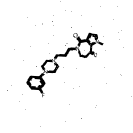 Cn1ccc2c1C(=O)CCN(CCCN1CCN(c3cccc(F)c3)CC1)C2=O